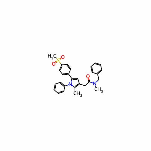 Cc1c(CC(=O)N(C)Cc2ccccc2)cc(-c2ccc(S(C)(=O)=O)cc2)n1-c1ccccc1